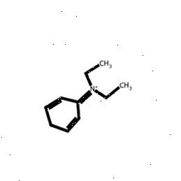 CC[N+](CC)=C1C=CCC=C1